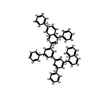 c1ccc(-c2cc(-c3cc(-c4ccccc4)cc(-c4cccc5ccccc45)c3)cc(-c3nc(-c4ccccc4)c4ccc(-c5ccccc5)cc4n3)c2)cc1